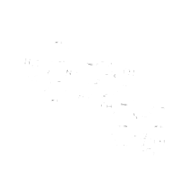 C[Si]1(C)c2ccccc2N(c2ccc3c(c2)[Si](C)(C)c2cc(N4c5ccccc5[Si](C)(C)c5ccccc54)ccc2[Si]3(C)C)c2ccccc21